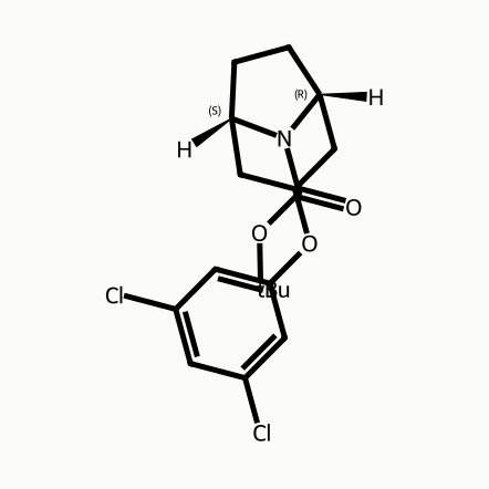 CC(C)(C)OC(=O)N1[C@@H]2CC[C@H]1CC(Oc1cc(Cl)cc(Cl)c1)C2